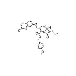 CCO[C@H]1C(=O)N2C(C(=O)OCc3ccc(OC)cc3)=C(COc3ccc4ccc(=O)oc4c3)CS[C@@H]12